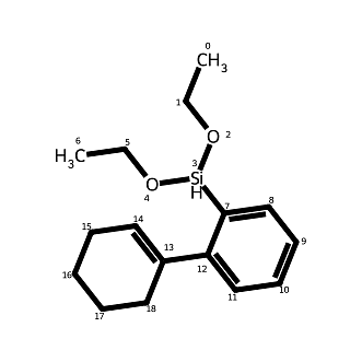 CCO[SiH](OCC)c1ccccc1C1=CCCCC1